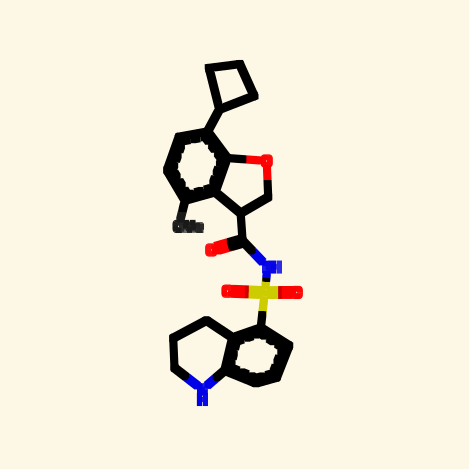 COc1ccc(C2CCC2)c2c1C(C(=O)NS(=O)(=O)c1cccc3c1CCCN3)CO2